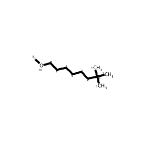 CC(C)(C)CCCCCCOI